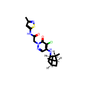 Cc1cc(NC(=O)Cn2ncc(N[C@@H]3C[C@@H]4C[C@H]([C@H]3C)C4(C)C)c(Cl)c2=O)sn1